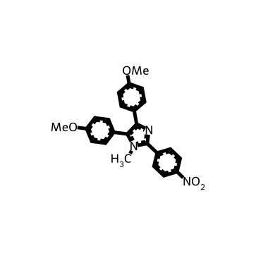 COc1ccc(-c2nc(-c3ccc([N+](=O)[O-])cc3)n(C)c2-c2ccc(OC)cc2)cc1